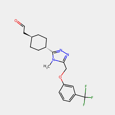 Cn1c(COc2cccc(C(F)(F)F)c2)nnc1[C@H]1CC[C@H](CC=O)CC1